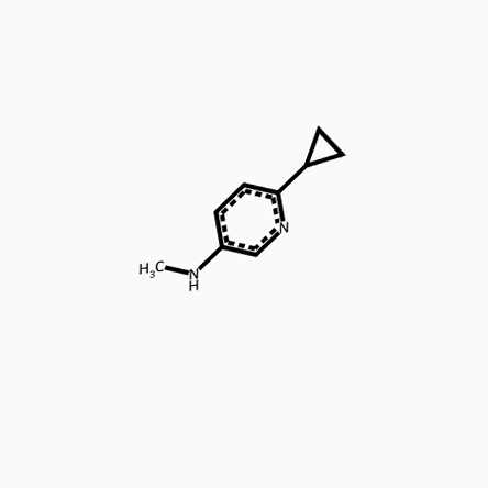 CNc1ccc(C2CC2)nc1